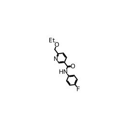 CCOCc1ccc(C(=O)Nc2ccc(F)cc2)cn1